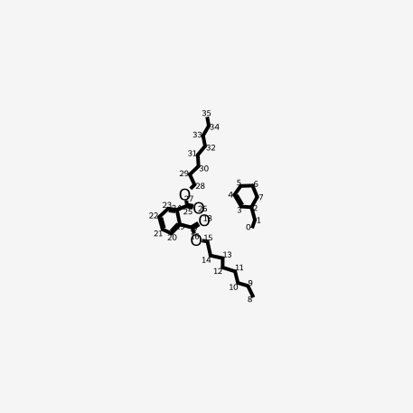 CCC1C=CCCC1.CCCCCCCCOC(=O)c1ccccc1C(=O)OCCCCCCCC